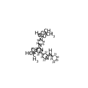 CC(C)(C)OC(=O)N1CCN(c2cc(C(C)(C)O)cc(-c3ccnc(NC4CCCCC4)c3)n2)CC1